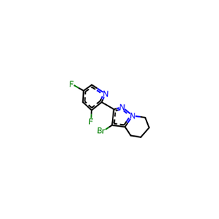 Fc1cnc(-c2nn3c(c2Br)CCCC3)c(F)c1